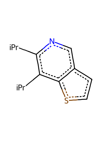 CC(C)c1ncc2ccsc2c1C(C)C